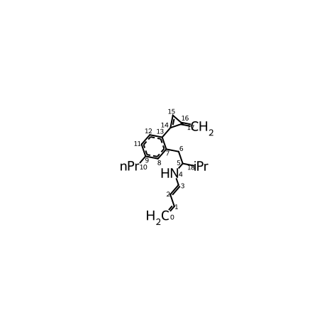 C=C/C=C/NC(Cc1cc(CCC)ccc1C1=CC1=C)C(C)C